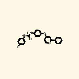 O=C(Nc1ccc(F)cc1)Nc1ccc(Oc2ccnc(-c3ccccc3)c2)cc1